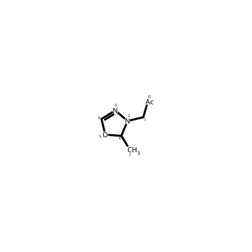 CC(=O)CN1N=COC1C